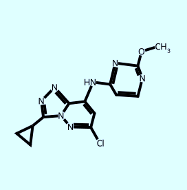 COc1nccc(Nc2cc(Cl)nn3c(C4CC4)nnc23)n1